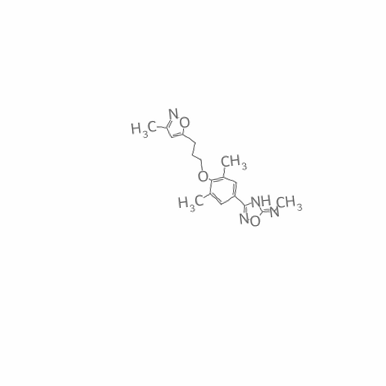 C/N=c1\[nH]c(-c2cc(C)c(OCCCc3cc(C)no3)c(C)c2)no1